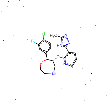 Cc1nnc(-c2cccnc2O[C@@H]2CNCCO[C@H]2c2ccc(Cl)c(F)c2)[nH]1